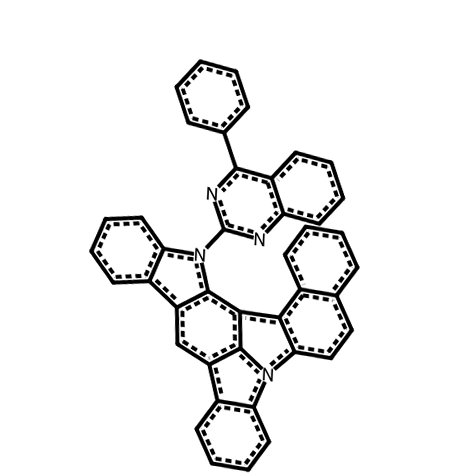 c1ccc(-c2nc(-n3c4ccccc4c4cc5c6ccccc6n6c7ccc8ccccc8c7c(c43)c56)nc3ccccc23)cc1